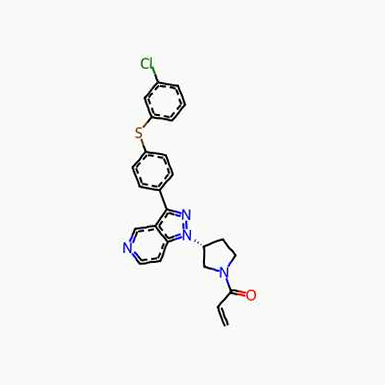 C=CC(=O)N1CC[C@@H](n2nc(-c3ccc(Sc4cccc(Cl)c4)cc3)c3cnccc32)C1